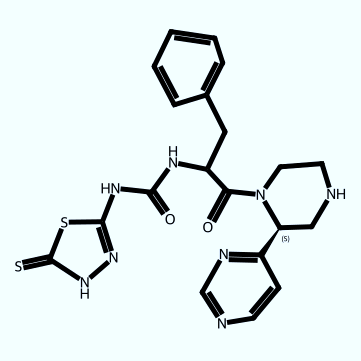 O=C(Nc1n[nH]c(=S)s1)NC(Cc1ccccc1)C(=O)N1CCNC[C@H]1c1ccncn1